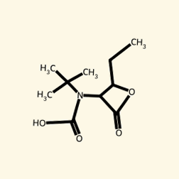 CCC1OC(=O)C1N(C(=O)O)C(C)(C)C